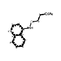 COCCONc1ccnc2ccccc12